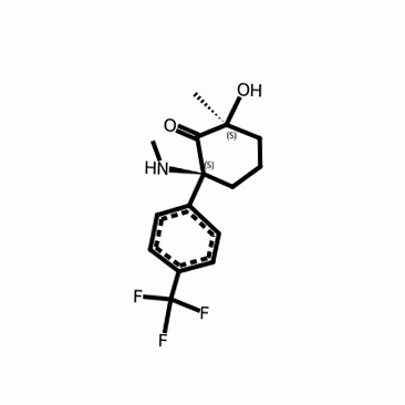 CN[C@]1(c2ccc(C(F)(F)F)cc2)CCC[C@](C)(O)C1=O